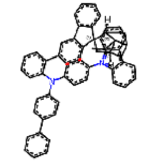 CC(C)C12C3C[C@@H]1C[C@@]1(c4ccccc4-c4cc(-c5ccccc5N(c5ccc(-c6ccccc6)cc5)c5ccc(-n6c7ccccc7c7ccccc76)cc5)ccc41)[C@@H]2C3